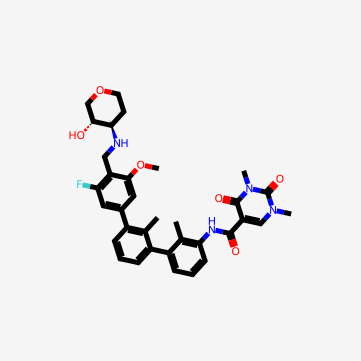 COc1cc(-c2cccc(-c3cccc(NC(=O)c4cn(C)c(=O)n(C)c4=O)c3C)c2C)cc(F)c1CN[C@@H]1CCOC[C@H]1O